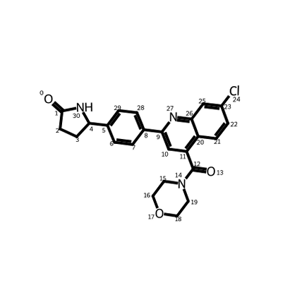 O=C1CCC(c2ccc(-c3cc(C(=O)N4CCOCC4)c4ccc(Cl)cc4n3)cc2)N1